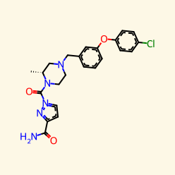 C[C@@H]1CN(Cc2cccc(Oc3ccc(Cl)cc3)c2)CCN1C(=O)n1ccc(C(N)=O)n1